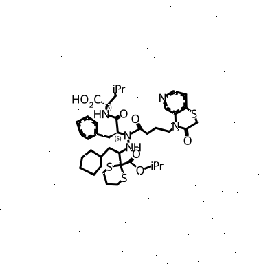 CC(C)C[C@H](NC(=O)[C@H](Cc1ccccc1)N(NC(CC1CCCCC1)C1(C(=O)OC(C)C)SCCCS1)C(=O)CCCN1C(=O)CSc2ccncc21)C(=O)O